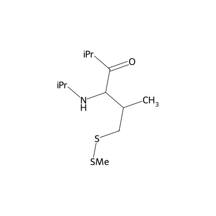 CSSCC(C)C(NC(C)C)C(=O)C(C)C